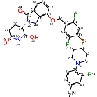 N#Cc1ccc(N2CCC(Sc3cc(F)c(COc4cccc5c4CN([C@H]4CCC(=O)NC4O)C5=O)cc3F)CC2)c(F)c1